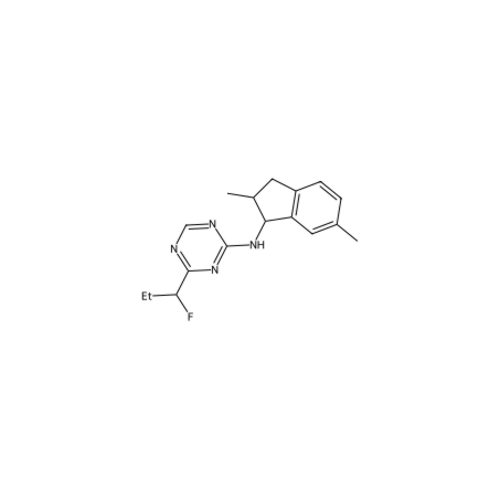 CCC(F)c1ncnc(NC2c3cc(C)ccc3CC2C)n1